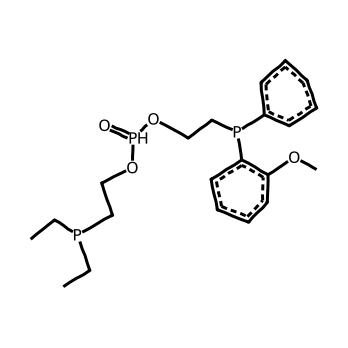 CCP(CC)CCO[PH](=O)OCCP(c1ccccc1)c1ccccc1OC